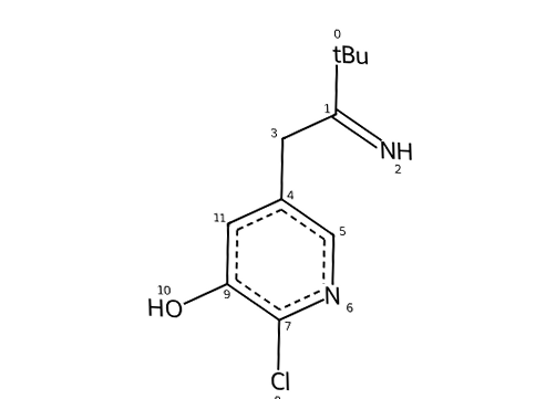 CC(C)(C)C(=N)Cc1cnc(Cl)c(O)c1